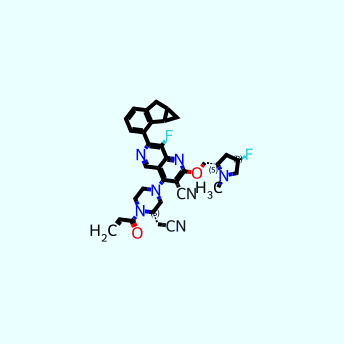 C=CC(=O)N1CCN(c2c(C#N)c(OC[C@@H]3C[C@@H](F)CN3C)nc3c(F)c(-c4cccc5c4C4CC4C5)ncc23)C[C@@H]1CC#N